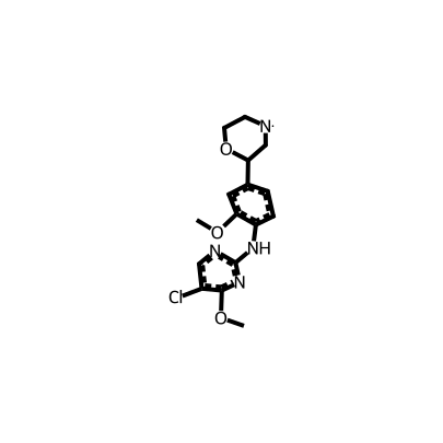 COc1cc(C2C[N]CCO2)ccc1Nc1ncc(Cl)c(OC)n1